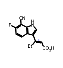 CC/C(=C\C(=O)O)c1c[nH]c2c(C#N)c(F)ccc12